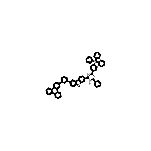 c1ccc(C2N=C(c3ccc([Si](c4ccccc4)(c4ccccc4)c4ccccc4)cc3)N=C(c3ccc4c(c3)sc3ccc(-c5cccc(-c6ccc7c8ccccc8c8ccccc8c7c6)c5)cc34)N2)cc1